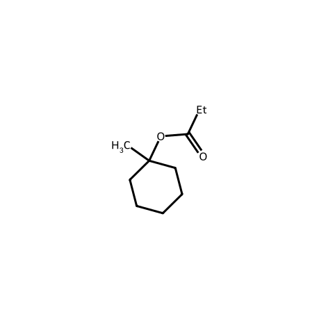 CCC(=O)OC1(C)CCCCC1